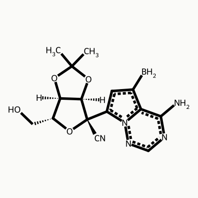 Bc1cc([C@]2(C#N)O[C@H](CO)[C@H]3OC(C)(C)O[C@H]32)n2ncnc(N)c12